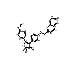 CC(C)Oc1ccc(C2=C(c3ccc(OCc4ccc5ccccc5n4)cc3)C(=O)C(C)(C)O2)cc1